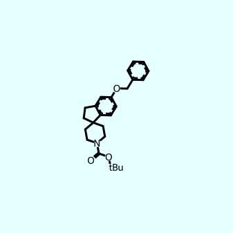 CC(C)(C)OC(=O)N1CCC2(CCc3cc(OCc4ccccc4)ccc32)CC1